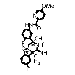 COc1ccc(C(=O)Nc2ccc(F)c([C@]3(C)CS(=O)(=O)[C@@](C)(c4cccc(F)c4)C(=N)N3)c2)nc1